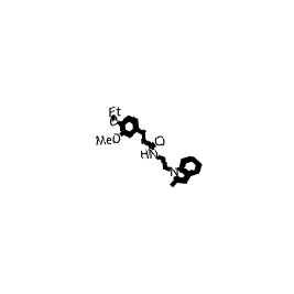 CCOc1ccc(CCC(=O)NCCn2c(C)cc3ccccc32)cc1OC